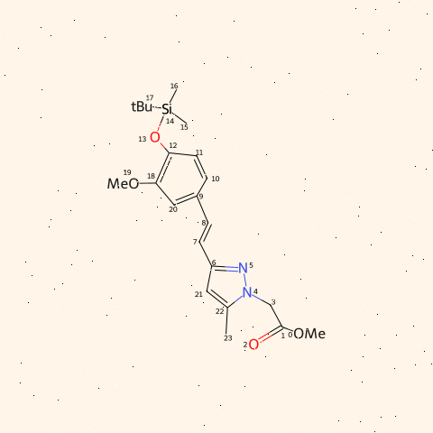 COC(=O)Cn1nc(C=Cc2ccc(O[Si](C)(C)C(C)(C)C)c(OC)c2)cc1C